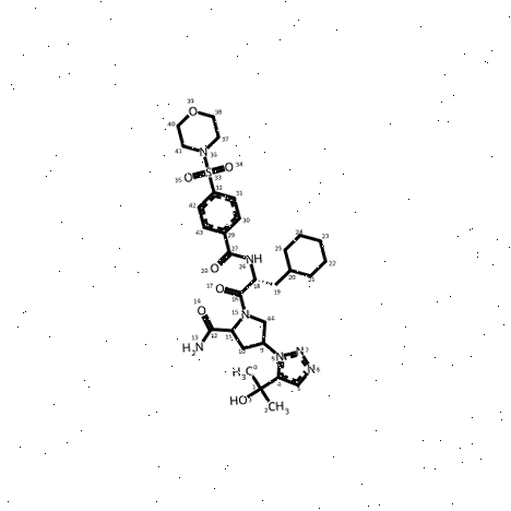 CC(C)(O)c1cnnn1C1CC(C(N)=O)N(C(=O)[C@@H](CC2CCCCC2)NC(=O)c2ccc(S(=O)(=O)N3CCOCC3)cc2)C1